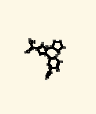 N#Cc1cc(-c2cc(C(=O)O)nn2C2CCCO2)ncn1